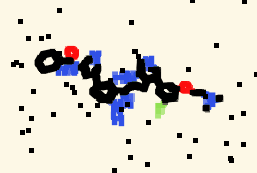 CN(C)CCOc1cc(F)cc(-c2cncc3[nH]c(-c4n[nH]c5ccc(-c6cncc(NC(=O)C7CCCCC7)c6)cc45)cc23)c1